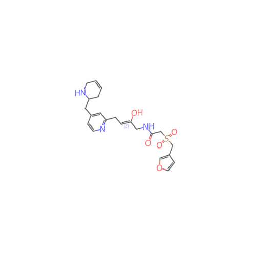 O=C(CS(=O)(=O)Cc1ccoc1)NC/C(O)=C/Cc1cc(CC2CC=CCN2)ccn1